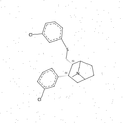 CN1C2CCC1[C@@H](CSc1cccc(Cl)c1)[C@@H](c1cccc(Cl)c1)C2